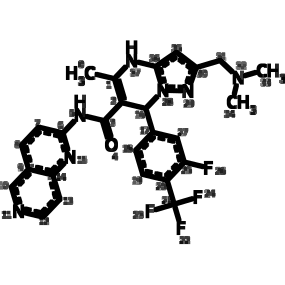 CC1=C(C(=O)Nc2ccc3cnccc3n2)C(c2ccc(C(F)(F)F)c(F)c2)n2nc(CN(C)C)cc2N1